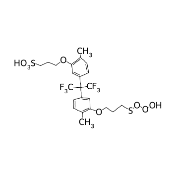 Cc1ccc(C(c2ccc(C)c(OCCCS(=O)(=O)O)c2)(C(F)(F)F)C(F)(F)F)cc1OCCCSOOO